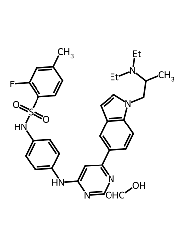 CCN(CC)C(C)Cn1ccc2cc(-c3cc(Nc4ccc(NS(=O)(=O)c5ccc(C)cc5F)cc4)ncn3)ccc21.O=CO